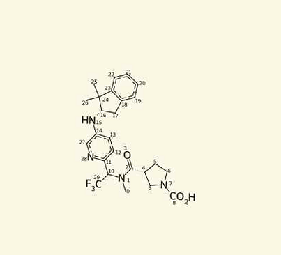 CN(C(=O)[C@@H]1CCN(C(=O)O)C1)C(c1ccc(N[C@H]2Cc3ccccc3C2(C)C)cn1)C(F)(F)F